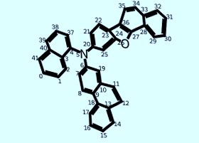 c1ccc2c(N(c3ccc4c(ccc5ccccc54)c3)c3ccc4c(c3)oc3c5ccccc5ccc43)cccc2c1